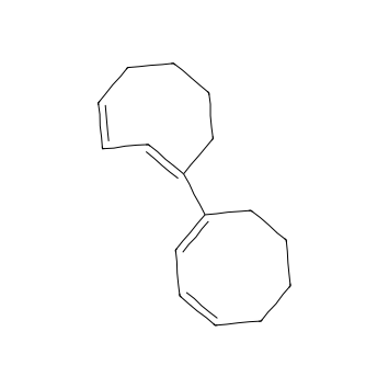 C1=C\CCCCC(/C2=C/C=C\CCCC2)=C/1